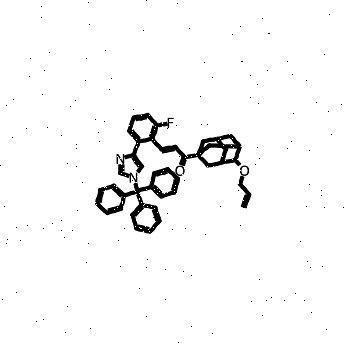 C=CCOC1C2CC3CC1CC(C(=O)/C=C/c1c(F)cccc1-c1cn(C(c4ccccc4)(c4ccccc4)c4ccccc4)cn1)(C3)C2